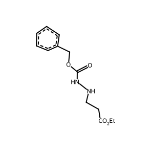 CCOC(=O)CCNNC(=O)OCc1ccccc1